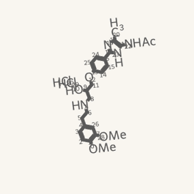 COc1ccc(CCNCC(O)COc2ccc(-c3nc(C)c(NC(C)=O)[nH]3)cc2)cc1OC.Cl.Cl